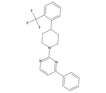 FC(F)(F)c1ccccc1C1CCN(c2nccc(-c3ccccc3)n2)CC1